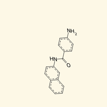 Nc1ccc(C(=O)Nc2ccc3ccccc3c2)cc1